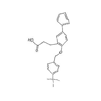 CC(C)(C)c1ccc(COc2ccc(-c3ccccc3)cc2CCC(=O)O)cc1